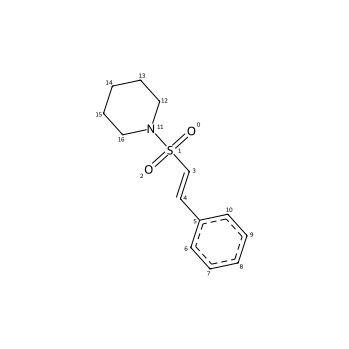 O=S(=O)(/C=C/c1ccccc1)N1CCCCC1